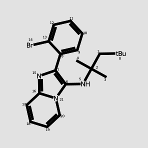 CC(C)(C)CC(C)(C)Nc1c(-c2ccccc2Br)nc2ccccn12